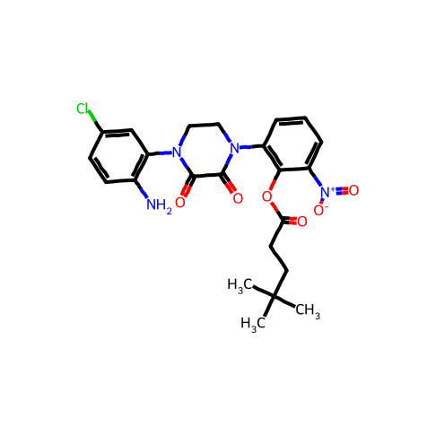 CC(C)(C)CCC(=O)Oc1c(N2CCN(c3cc(Cl)ccc3N)C(=O)C2=O)cccc1[N+](=O)[O-]